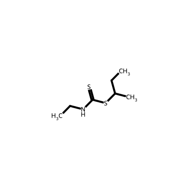 CCNC(=S)SC(C)CC